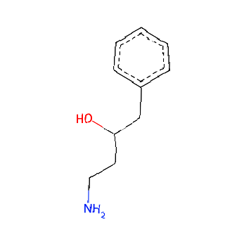 NCCC(O)Cc1ccccc1